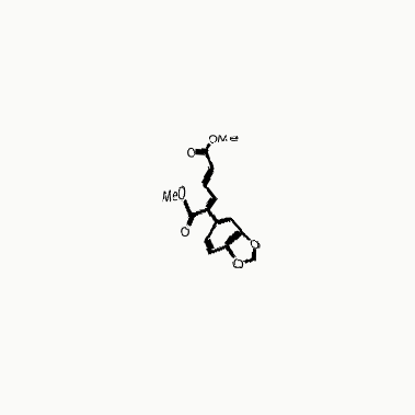 COC(=O)C=CC=C(C(=O)OC)c1ccc2c(c1)OCO2